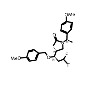 COc1ccc(CO[C@H](CC(F)F)[C@@H]2CC(=O)N([C@H](C)c3ccc(OC)cc3)C2)cc1